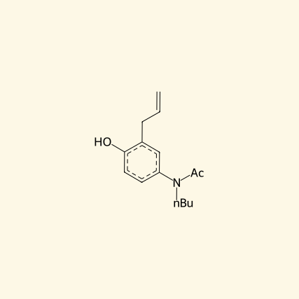 C=CCc1cc(N(CCCC)C(C)=O)ccc1O